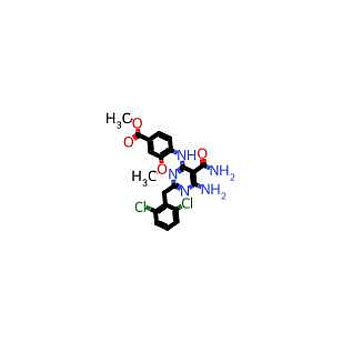 COC(=O)c1ccc(Nc2nc(Cc3c(Cl)cccc3Cl)nc(N)c2C(N)=O)c(OC)c1